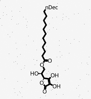 CCCCCCCCCCCCCCCCCCCCCC(=O)OC[C@H](O)[C@H]1OC(=O)C(O)=C1O